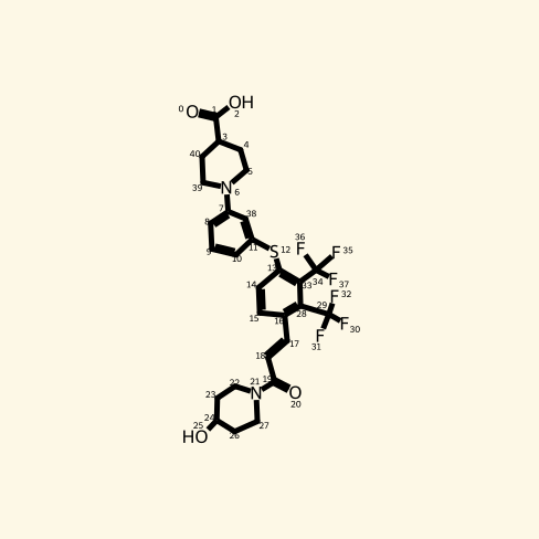 O=C(O)C1CCN(c2cccc(Sc3ccc(C=CC(=O)N4CCC(O)CC4)c(C(F)(F)F)c3C(F)(F)F)c2)CC1